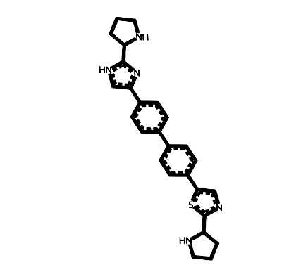 c1cc(-c2c[nH]c(C3CCCN3)n2)ccc1-c1ccc(-c2cnc(C3CCCN3)s2)cc1